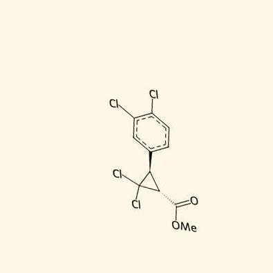 COC(=O)[C@H]1[C@H](c2ccc(Cl)c(Cl)c2)C1(Cl)Cl